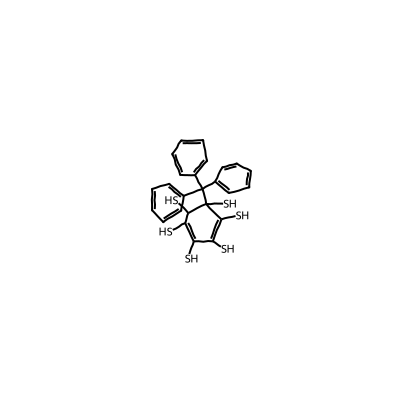 SC1=C(S)C(S)C(S)(C(c2ccccc2)(c2ccccc2)c2ccccc2)C(S)=C1S